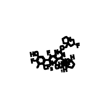 Cc1c(F)c(O)cc(-c2nc3c4c(nc(OC[C@@]56CCCN5C[C@H](F)C6)nc4c2F)N2C[C@H]4CC[C@H](N4)[C@H]2[C@H](C)O3)c1C(F)(F)F